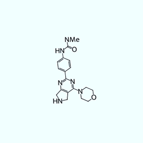 CNC(=O)Nc1ccc(-c2nc3c(c(N4CCOCC4)n2)CNC3)cc1